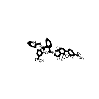 CC1(C)C(c2ccc(C(=O)O)cc2)=CC[C@]2(C)CN(C(=O)c3ccccc3-c3nc4cc(C(=O)O)ccc4n3Cc3ccccn3)CC=C12